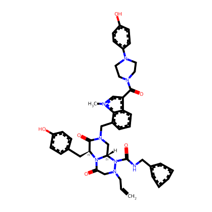 C=CCN1CC(=O)N2[C@@H](Cc3ccc(O)cc3)C(=O)N(Cc3cccc4c(C(=O)N5CCN(c6ccc(O)cc6)CC5)cn(C)c34)C[C@@H]2N1C(=O)NCc1ccccc1